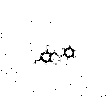 Fc1cc(F)c(CNc2ccccc2)c(F)c1